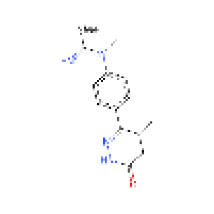 CNC(=N)N(C)c1ccc(C2=NNC(=O)CC2C)cc1